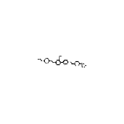 CCCC1CCC(CCc2ccc(-c3ccc(CCC4CCC(COC)CC4)cc3)c(F)c2)CC1